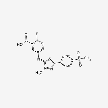 Cn1nc(-c2ccc(S(C)(=O)=O)cc2)sc1=Nc1ccc(F)c(C(=O)O)c1